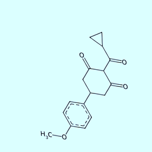 COc1ccc(C2CC(=O)C(C(=O)C3CC3)C(=O)C2)cc1